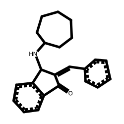 O=C1C(=Cc2ccccc2)C(NC2CCCCCC2)c2ccccc21